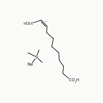 CCCCCCCC/C=C\CCCCCCCC(=O)O.C[Si](C)(C)[Na]